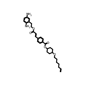 C=CCCCCCOC1CCC(OC(=O)c2ccc(/C=C/C(=O)OCCc3cc(N)ccc3N)cc2)CC1